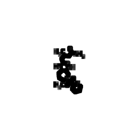 C[C@@H](CC(N)=O)CC(=O)N[C@H]1CC[C@@H](C)N(S(=O)(=O)c2ccccn2)CC1O